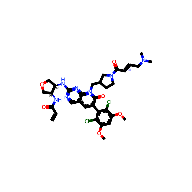 C=CC(=O)N[C@H]1COC[C@H]1Nc1ncc2cc(-c3c(Cl)c(OC)cc(OC)c3Cl)c(=O)n(CC3CCN(C(=O)/C=C/CN(C)C)C3)c2n1